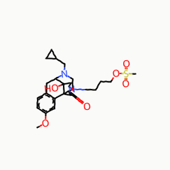 COc1ccc2c(c1)C13CCN(CC4CC4)C(C2)C1(O)CCN(CCCOS(C)(=O)=O)C(=O)C3